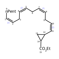 CCCCC/C=C\C/C=C\C/C=C\C/C=C\C1CC1C(=O)OCC